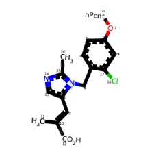 CCCCCOc1ccc(Cn2c(C=C(C)C(=O)O)cnc2C)c(Cl)c1